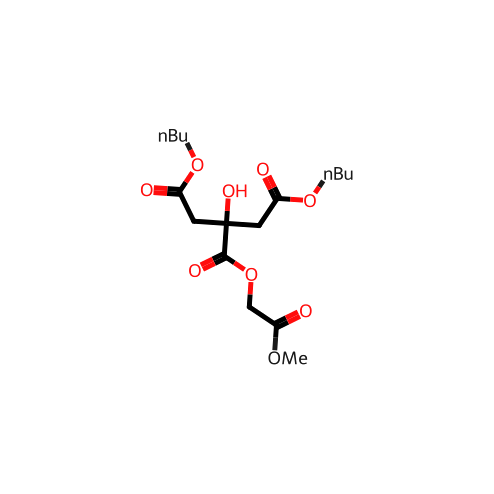 CCCCOC(=O)CC(O)(CC(=O)OCCCC)C(=O)OCC(=O)OC